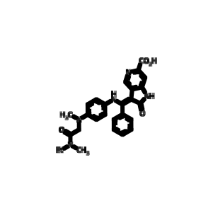 CCN(C)C(=O)CN(C)c1ccc(N/C(=C2/C(=O)Nc3cc(C(=O)O)ncc32)c2ccccc2)cc1